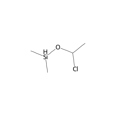 CC(Cl)O[SiH](C)C